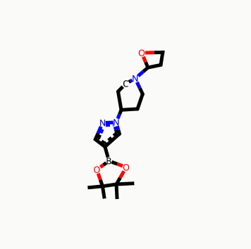 CC1(C)OB(c2cnn(C3CCN(C4CCO4)CC3)c2)OC1(C)C